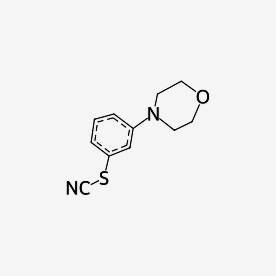 N#CSc1cccc(N2CCOCC2)c1